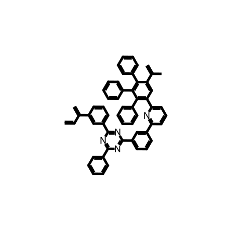 C=CC(=C)c1cccc(-c2nc(-c3ccccc3)nc(-c3cccc(-c4cccc(-c5cc(C(=C)C)c(-c6ccccc6)c(-c6ccccc6)c5-c5ccccc5)n4)c3)n2)c1